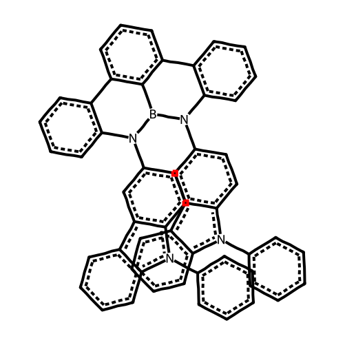 c1ccc(-n2c3ccccc3c3cc(N4B5c6c(cccc6-c6ccccc6N5c5ccc6c(c5)c5ccccc5n6-c5ccccc5)-c5ccccc54)ccc32)cc1